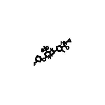 Cc1cc(-c2cn3nc(Oc4cccc(F)c4)cc(S(C)(=O)=O)c3n2)ccc1C(=O)NC1CC1